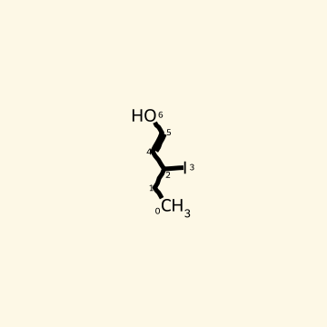 CCC(I)C=CO